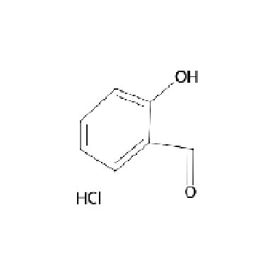 Cl.O=Cc1ccccc1O